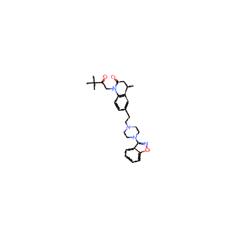 CC1CC(=O)N(CC(=O)C(C)(C)C)c2ccc(CCN3CCN(c4noc5ccccc45)CC3)cc21